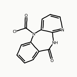 O=C1Nc2ncccc2N(C(=O)Cl)c2ccccc21